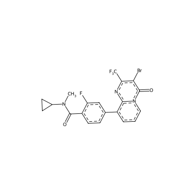 CN(C(=O)c1ccc(-c2cccn3c(=O)c(Br)c(C(F)(F)F)nc23)cc1F)C1CC1